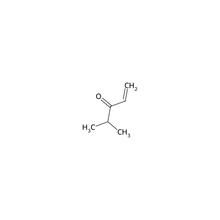 C=CC(=O)C(C)C